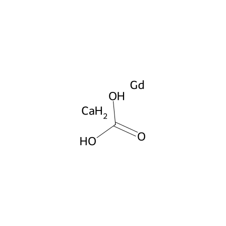 O=C(O)O.[CaH2].[Gd]